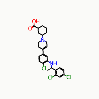 C[C@@H](Nc1cc(C2=CCN(C3CCCC(C(=O)O)C3)CC2)ccc1Cl)c1ccc(Cl)cc1Cl